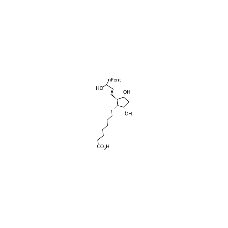 CCCCCC(O)/C=C/[C@@H]1[C@@H](CCCCCCCC(=O)O)[C@@H](O)C[C@H]1O